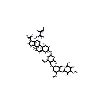 C/C=C(\C)C(=O)O[C@@H]1CC2C(CC=C3C[C@@H](OC4CC(OC)C(OC5CC(OC)C(OC6OC(C)C(O)C(OC)C6O)C(C)O5)C(C)O4)CC[C@@]32C)[C@@]2(O)CCC(C(C)=O)[C@@]12C